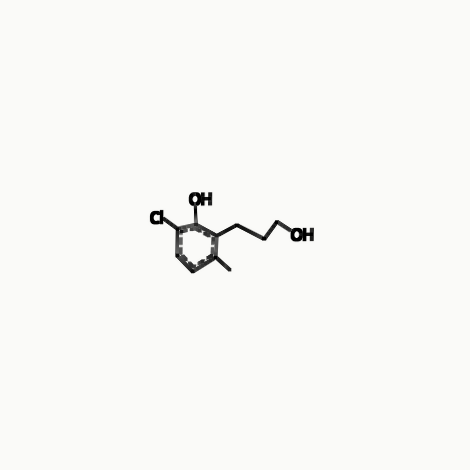 Cc1ccc(Cl)c(O)c1CCCO